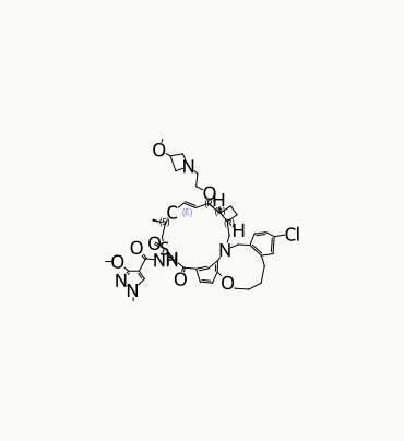 COc1nn(C)cc1C(=O)NS1(=O)=NC(=O)c2ccc3c(c2)N(Cc2ccc(Cl)cc2CCCCO3)C[C@@H]2CC[C@H]2[C@@H](OCCN2CC(OC)C2)/C=C/C[C@H](C)C1